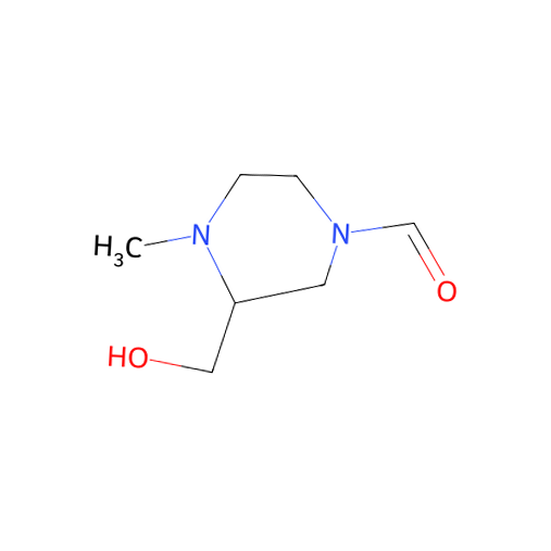 CN1CCN(C=O)CC1CO